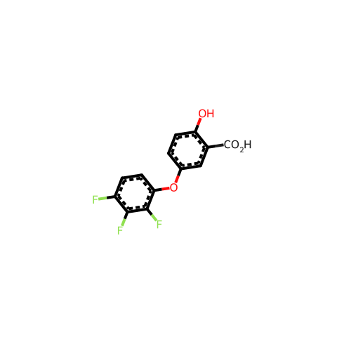 O=C(O)c1cc(Oc2ccc(F)c(F)c2F)ccc1O